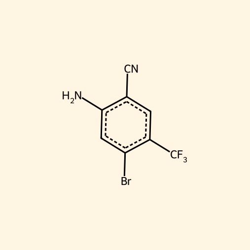 N#Cc1cc(C(F)(F)F)c(Br)cc1N